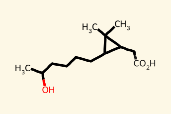 CC(O)CCCCC1C(CC(=O)O)C1(C)C